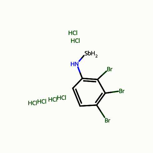 Brc1ccc([NH][SbH2])c(Br)c1Br.Cl.Cl.Cl.Cl.Cl.Cl